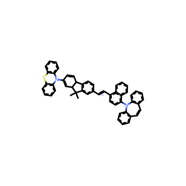 CC1(C)c2cc(/C=C/c3ccc(N4c5ccccc5C=Cc5ccccc54)c4ccccc34)ccc2C2C=CC(N3c4ccccc4Sc4ccccc43)=CC21